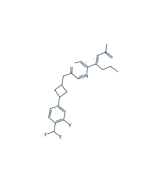 C=C(C)/C=C(CCC)/C(=C/C)/N=C\C(=C)CC1CC(c2ccc(C(F)F)c(F)c2)C1